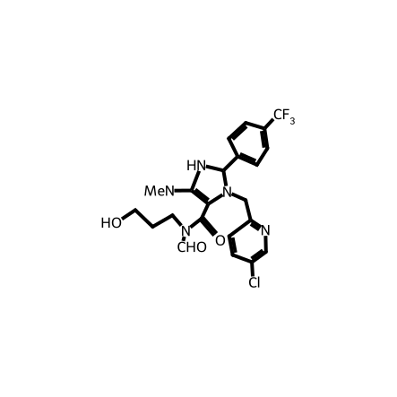 CNC1=C(C(=O)N(C=O)CCCO)N(Cc2ccc(Cl)cn2)C(c2ccc(C(F)(F)F)cc2)N1